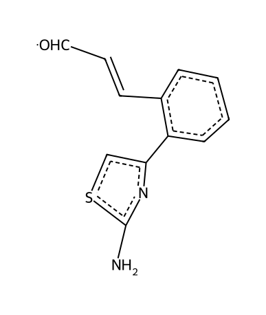 Nc1nc(-c2ccccc2C=C[C]=O)cs1